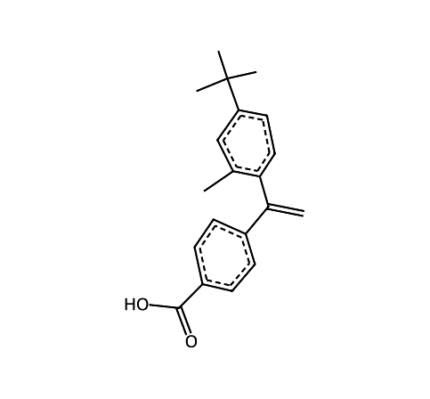 C=C(c1ccc(C(=O)O)cc1)c1ccc(C(C)(C)C)cc1C